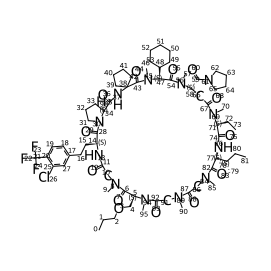 CCCOC[C@H]1C(=O)N(C)CC(=O)N[C@@H](CCc2ccc(C(F)(F)F)c(Cl)c2)C(=O)N2CCC[C@H]2C(=O)NC2(CCCC2)C(=O)N(C)[C@@H](C2CCCCC2)C(=O)N(C)[C@H](C(=O)N2CCCC2)CC(=O)N(C)[C@@H](CC)C(=O)N[C@@H]([C@@H](C)CC)C(=O)N(C)CC(=O)N(C)CC(=O)N1C